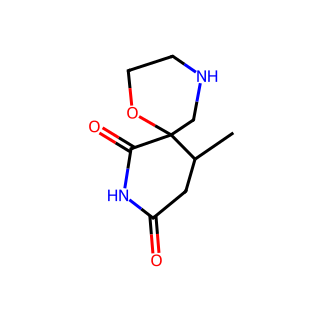 CC1CC(=O)NC(=O)C12CNCCO2